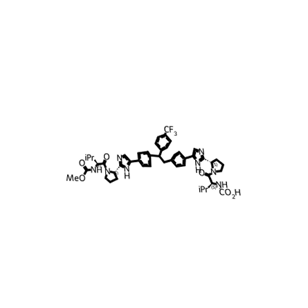 COC(=O)N[C@H](C(=O)N1CCC[C@H]1c1ncc(-c2ccc(C(Cc3ccc(-c4cnc([C@@H]5CCCN5C(=O)[C@@H](NC(=O)O)C(C)C)[nH]4)cc3)c3ccc(C(F)(F)F)cc3)cc2)[nH]1)C(C)C